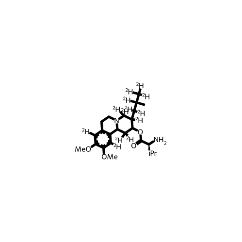 [2H]c1c2c(c([2H])c(OC)c1OC)C1N(CC2)C([2H])([2H])C([2H])(C([2H])([2H])C([2H])(C)C([2H])([2H])[2H])C(OC(=O)[C@@H](N)C(C)C)C1([2H])[2H]